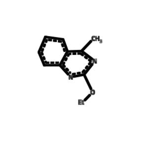 CCOc1nc(C)c2ccccc2n1